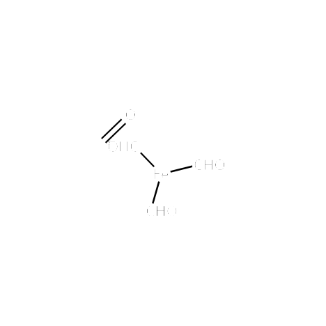 C=O.O=[CH][Fe]([CH]=O)[CH]=O